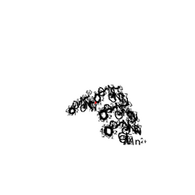 CCCN(CCOc1ccccc1)C(=O)n1ccnc1.CCCN(CCOc1ccccc1)C(=O)n1ccnc1.CCCN(CCOc1ccccc1)C(=O)n1ccnc1.CCCN(CCOc1ccccc1)C(=O)n1ccnc1.[Cl-].[Cl-].[Mn+2]